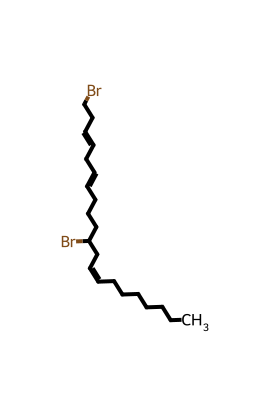 CCCCCCC/C=C\CC(Br)CCCC=CCC=CCCBr